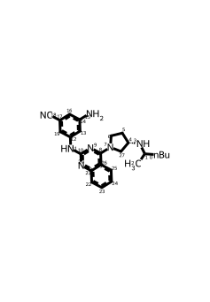 CCCCC(C)N[C@H]1CCN(c2nc(Nc3cc(N)cc(C#N)c3)nc3ccccc23)C1